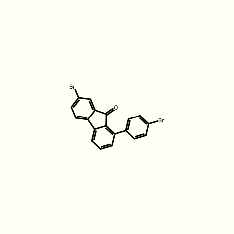 O=C1c2cc(Br)ccc2-c2cccc(-c3ccc(Br)cc3)c21